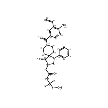 CC(C)(CO)NC(=O)CN1CN(c2ccccc2)C2(CCN(C(=O)c3cnc(N)c(C=N)c3)CC2)C1=O